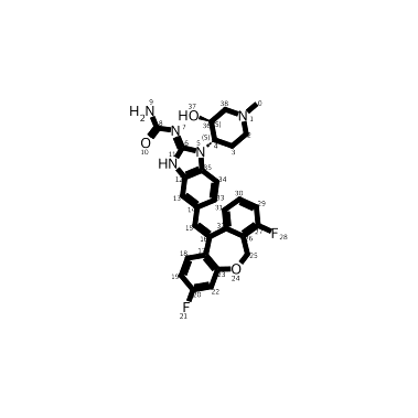 CN1CC[C@H](n2c(=NC(N)=O)[nH]c3cc(C=C4c5ccc(F)cc5OCc5c(F)cccc54)ccc32)[C@@H](O)C1